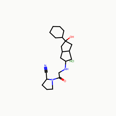 Cl.N#CC1CCCN1C(=O)CNC1CC2CC(O)(C3CCCCC3)CC2C1